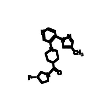 Cc1cnn(-c2ccncc2N2CCC(C(=O)N3CC[C@H](F)C3)CC2)c1